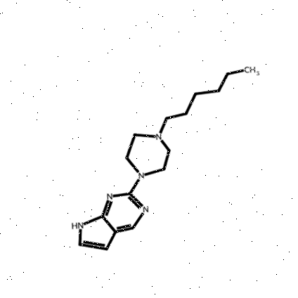 CCCCCCN1CCN(c2ncc3cc[nH]c3n2)CC1